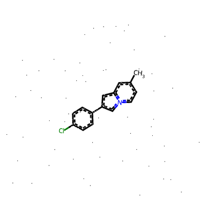 Cc1ccn2cc(-c3ccc(Cl)cc3)cc2c1